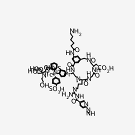 CC(C)C1CN(C)C(CCCN=C(N)NC(=O)c2ccc(N=N)nc2)C(=O)NCC(=O)NC(CC(=O)O)C(=O)NCc2cc(NC(=O)CCCCCN)cc(c2)C(=O)N1.O=S(=O)(O)c1ccc([P](=[Tc])(c2ccccc2S(=O)(=O)O)c2ccccc2S(=O)(=O)O)cc1.OCC[N-]C(CO)(CO)CO